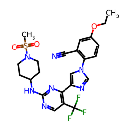 CCOc1ccc(-n2cnc(-c3nc(NC4CCN(S(C)(=O)=O)CC4)ncc3C(F)(F)F)c2)c(C#N)c1